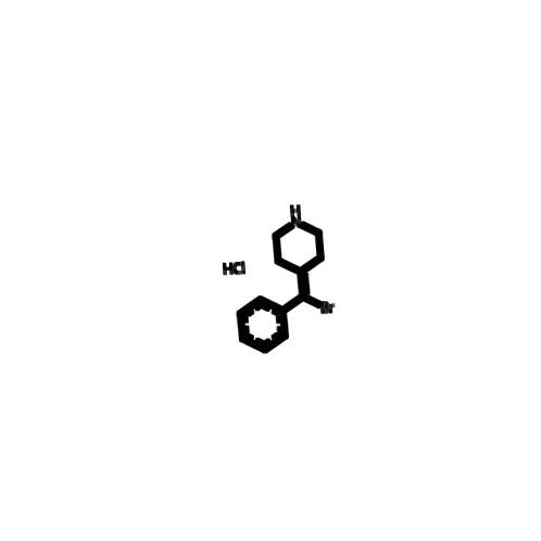 BrC(=C1CCNCC1)c1ccccc1.Cl